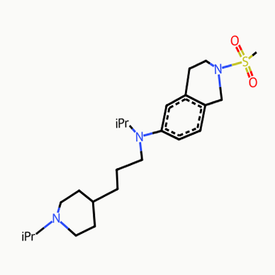 CC(C)N1CCC(CCCN(c2ccc3c(c2)CCN(S(C)(=O)=O)C3)C(C)C)CC1